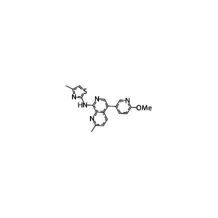 COc1ccc(-c2cnc(Nc3nc(C)cs3)c3nc(C)ccc23)cn1